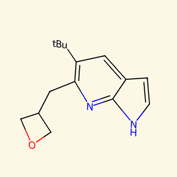 CC(C)(C)c1cc2cc[nH]c2nc1CC1COC1